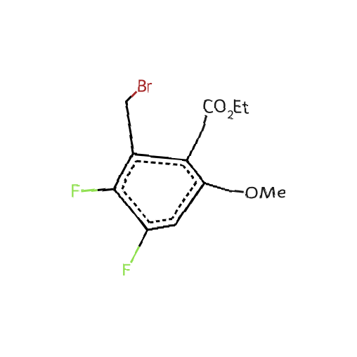 CCOC(=O)c1c(OC)cc(F)c(F)c1CBr